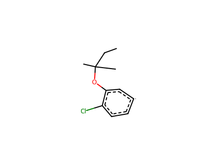 CCC(C)(C)Oc1c[c]ccc1Cl